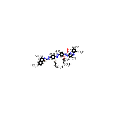 COc1cc(S(=O)(=O)O)c2nc3c(C#N)c(C)c(N=Nc4cc(C)c(N=Nc5cc(OC)c(N=Nc6nc7c(S(=O)(=O)O)cc8cc(S(=O)(=O)O)ccc8c7s6)cc5SCCCS(=O)(=O)O)cc4OCCCS(=O)(=O)O)c(O)n3c2c1